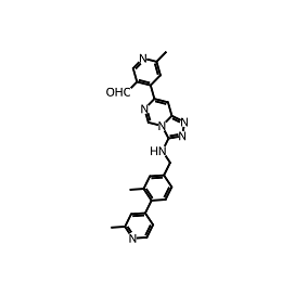 Cc1cc(-c2ccc(CNc3nnc4cc(-c5cc(C)ncc5C=O)ncn34)cc2C)ccn1